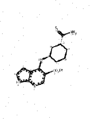 CCOC(=O)c1cnc2[nH]ccc2c1N[C@@H]1CCC[C@@H](C(N)=O)C1